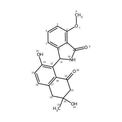 COc1cccc2c1C(=O)NC2c1c(O)ccc2c1C(=O)CC(C)(O)C2